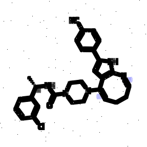 C[C@H](NC(=O)N1CCN(/C2=C/CC/C=N\c3[nH]c(-c4ccc(C#N)cc4)cc32)CC1)c1cccc(Cl)c1